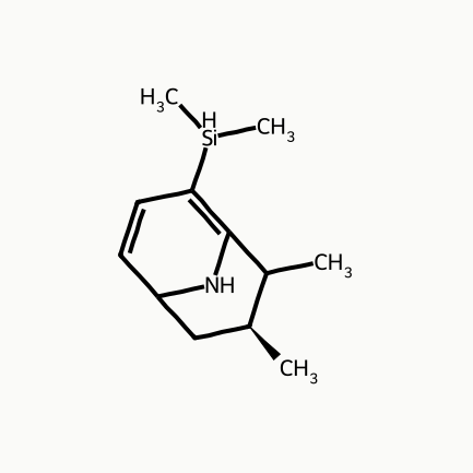 CC1C2=C([SiH](C)C)C=CC(C[C@@H]1C)N2